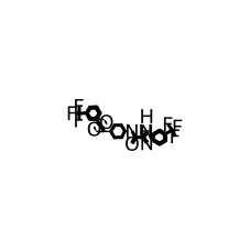 O=C(N[C@H]1CC[C@H](CS(=O)(=O)c2cccc(C(F)(F)F)c2)CC1)c1nc2ccc(C(F)(F)F)cc2[nH]1